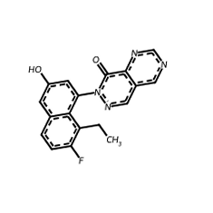 CCc1c(F)ccc2cc(O)cc(-n3ncc4cncnc4c3=O)c12